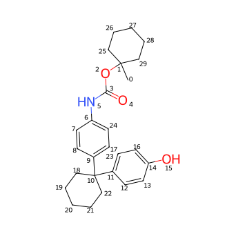 CC1(OC(=O)Nc2ccc(C3(c4ccc(O)cc4)CCCCC3)cc2)CCCCC1